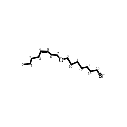 CCCC/C=C\CCO[CH]CCCCCCBr